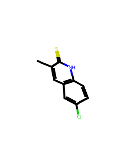 Cc1cc2cc(Cl)ccc2[nH]c1=S